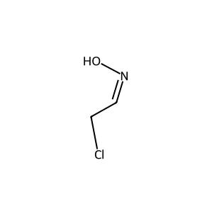 O/N=C\CCl